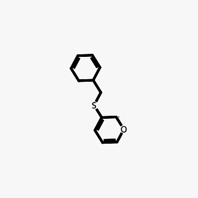 [CH]1OC=CC=C1SCC1C=CC=CC1